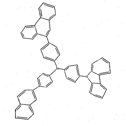 c1ccc2cc(-c3ccc(N(c4ccc(-c5cc6ccccc6c6ccccc56)cc4)c4ccc(-n5c6ccccc6c6ccccc65)cc4)cc3)ccc2c1